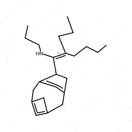 CCCC/C(CCC)=C(/NCCC)C1CC2=C=C1CC1=C=C(C1)C2